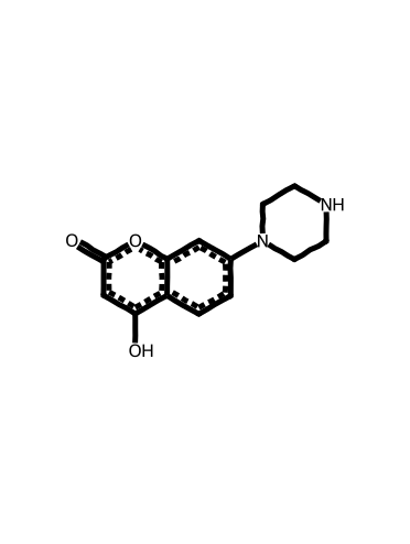 O=c1cc(O)c2ccc(N3CCNCC3)cc2o1